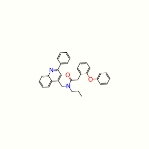 CCCN(Cc1cc(-c2ccccc2)nc2ccccc12)C(=O)Cc1ccccc1Oc1ccccc1